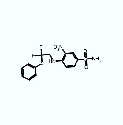 NS(=O)(=O)c1ccc(NCC(F)(F)Sc2ccccc2)c([N+](=O)[O-])c1